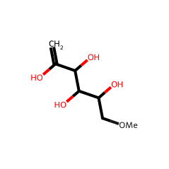 C=C(O)C(O)C(O)C(O)COC